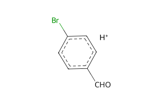 O=Cc1ccc(Br)cc1.[H+]